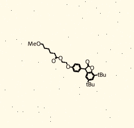 COCCCCCC(=O)OCCOc1ccc(C2C(=O)Oc3c2cc(C(C)(C)C)cc3C(C)(C)C)cc1